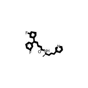 C[C@H](CCCc1cccnc1)NC(=O)/C=C/C=C(c1cccc(F)c1)c1cccc(F)c1